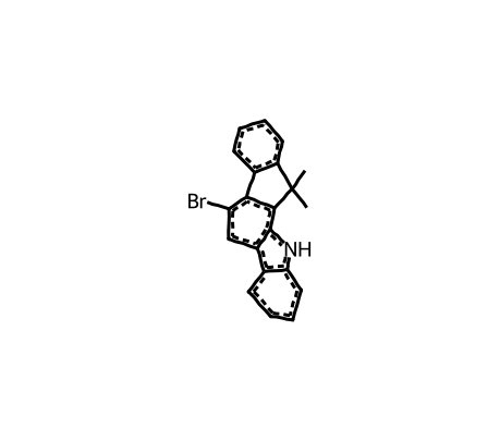 CC1(C)c2ccccc2-c2c(Br)cc3c([nH]c4ccccc43)c21